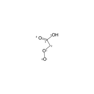 [O]OCC(=O)O